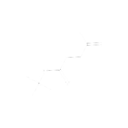 C=C(C)CCC(=O)OC(C)(C)C